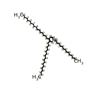 CCCCCCCCCCCCCCCCCc1cc[n+](CCCCCCCCCCCCCC)cc1CCCCCCCCCCCCCCCCC